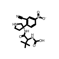 CC(C)(C)C(NC(=O)O)C(=O)N[C@]1(c2ccc([N+](=O)[O-])cc2C#N)CCNC1